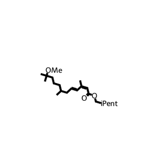 CCCC(C)COC(=O)C=C(C)C=CCC(C)CCCC(C)(C)OC